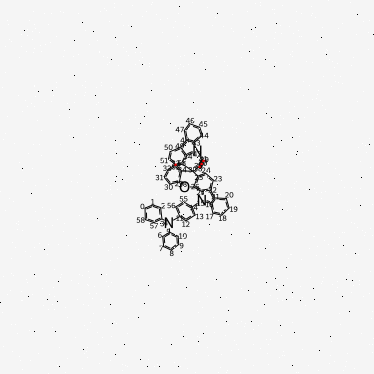 c1ccc(N(c2ccccc2)c2ccc(-n3c4ccccc4c4ccc5c(c43)Oc3ccccc3C53c4ccccc4-n4c5ccccc5c5cccc3c54)cc2)cc1